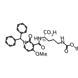 COc1ccn(C(c2ccccc2)c2ccccc2)c(=O)c1C(=O)N[C@@H](CCCNC(=O)OC(C)(C)C)C(=O)O